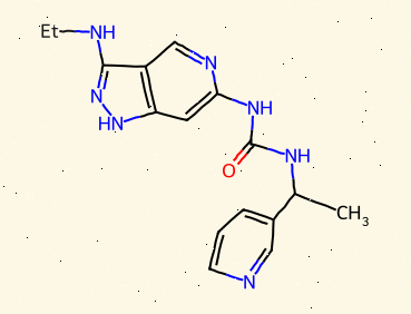 CCNc1n[nH]c2cc(NC(=O)NC(C)c3cccnc3)ncc12